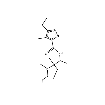 CCCN(C)C(C)(CC)C(C)NC(=O)c1noc(CC)c1C